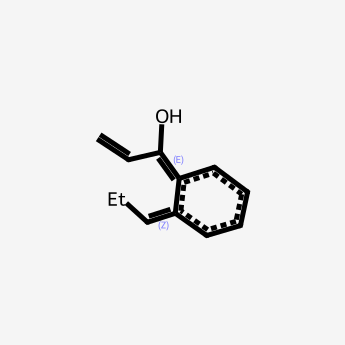 C=C/C(O)=c1/cccc/c1=C/CC